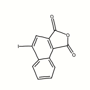 O=C1OC(=O)c2c1cc(I)c1ccccc21